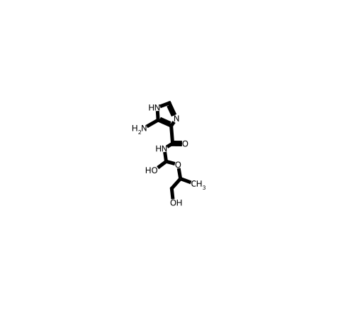 CC(CO)OC(O)NC(=O)c1nc[nH]c1N